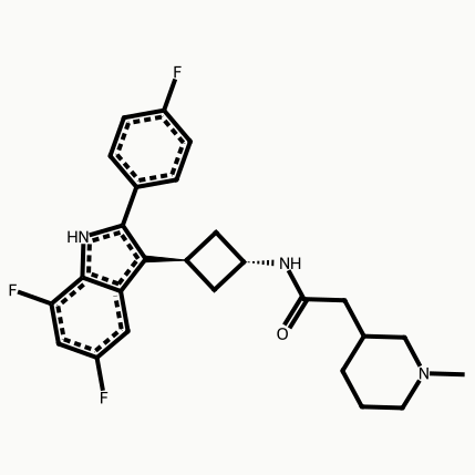 CN1CCCC(CC(=O)N[C@H]2C[C@H](c3c(-c4ccc(F)cc4)[nH]c4c(F)cc(F)cc43)C2)C1